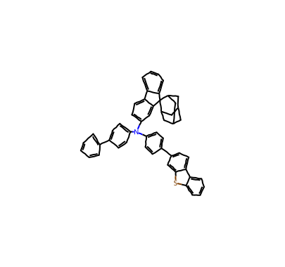 c1ccc(-c2ccc(N(c3ccc(-c4ccc5c(c4)sc4ccccc45)cc3)c3ccc4c(c3)C3(c5ccccc5-4)C4CC5CC(C4)CC3C5)cc2)cc1